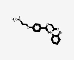 CNCCOc1ccc(C2=NN(c3ccccc3Br)C(=O)CO2)cc1